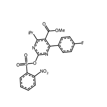 COC(=O)c1c(-c2ccc(F)cc2)nc(OS(=O)(=O)c2ccccc2[N+](=O)[O-])nc1C(C)C